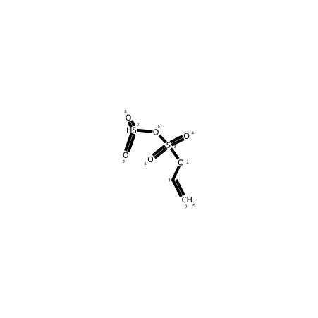 C=COS(=O)(=O)O[SH](=O)=O